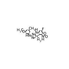 COc1cc(C)cc(Nc2ncc(C)c(Nc3cc(F)c4oc(=O)[nH]c4c3)n2)c1